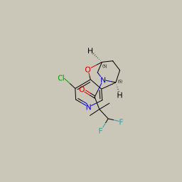 CC(C)(C(=O)N1C[C@@H]2CC[C@H]1c1cncc(Cl)c1O2)C(F)F